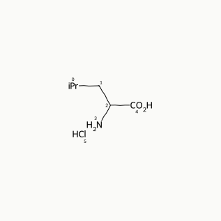 CC(C)CC(N)C(=O)O.Cl